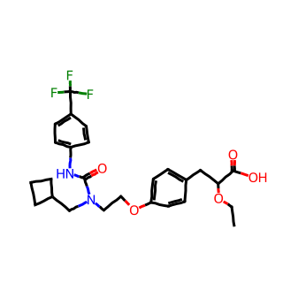 CCOC(Cc1ccc(OCCN(CC2CCC2)C(=O)Nc2ccc(C(F)(F)F)cc2)cc1)C(=O)O